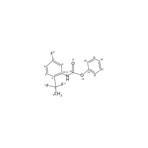 CC(F)(F)c1ccc(F)cc1NC(=O)Oc1ccccc1